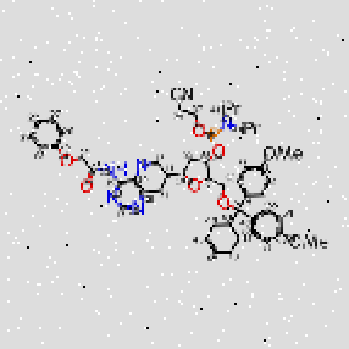 COc1ccc(C(OC[C@H]2O[C@@H](C3C=Nc4c(ncnc4NC(=O)COc4ccccc4)C3)CC2OP(OCCC#N)N(C(C)C)C(C)C)(C2=CC=CCC2)c2ccc(OC)cc2)cc1